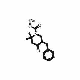 CC(C)(C)OC(=O)N1CC(Cc2ccccc2)C(=O)CC1(C)C